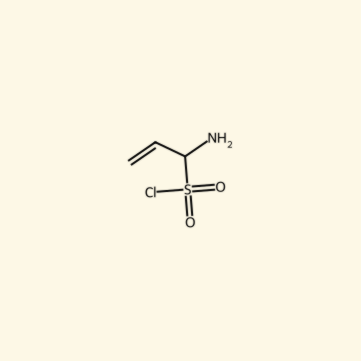 C=CC(N)S(=O)(=O)Cl